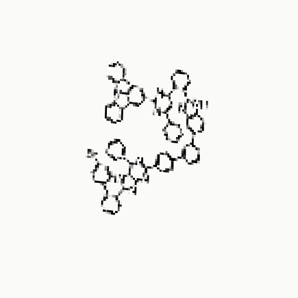 Brc1ccc(-c2ccccc2-c2nc3nc(-c4ccc(-c5cccc(-c6ccc7[nH]c(-c8ccccc8-c8cc(-c9ccccc9)nc(-c9cc%10c%11ccccc%11n%11c%12ccccc%12c(c9)c%10%11)n8)nc7c6)c5)cc4)nc(-c4ccccc4)c3[nH]2)cc1